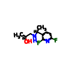 C[C@H](O)CN[C@@H](C)c1ccc(F)nc1F